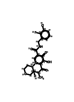 CN1C(=O)c2c(O)c(=O)c(C(=O)NCc3cccc(Cl)c3F)cn2N2CCOC[C@@H]12